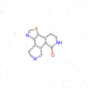 O=c1[nH]ccc2c3scnc3c3ccncc3c12